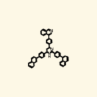 C1=C(c2ccc(-c3cncc4ccccc34)cc2)N=C(c2ccc(-c3cccc4ccccc34)cc2)NC1c1ccc(-c2ccc3ccccc3c2)cc1